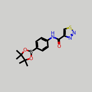 CC1(C)OB(c2ccc(NC(=O)c3csnn3)cc2)OC1(C)C